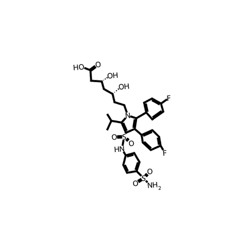 CC(C)c1c(S(=O)(=O)Nc2ccc(S(N)(=O)=O)cc2)c(-c2ccc(F)cc2)c(-c2ccc(F)cc2)n1CC[C@@H](O)C[C@@H](O)CC(=O)O